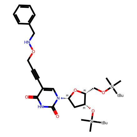 CC(C)(C)[Si](C)(C)OC[C@H]1O[C@@H](n2cc(C#CCONCc3ccccc3)c(=O)[nH]c2=O)C[C@H]1O[Si](C)(C)C(C)(C)C